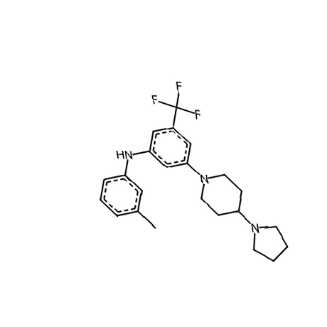 Cc1cccc(Nc2cc(N3CCC(N4CCCC4)CC3)cc(C(F)(F)F)c2)c1